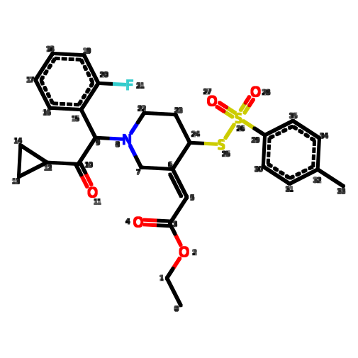 CCOC(=O)C=C1CN(C(C(=O)C2CC2)c2ccccc2F)CCC1SS(=O)(=O)c1ccc(C)cc1